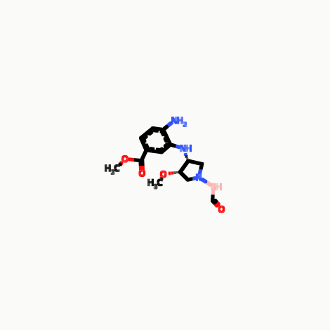 COC(=O)c1ccc(N)c(N[C@@H]2CN(BC=O)C[C@@H]2OC)c1